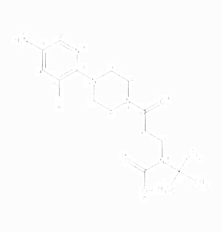 CC(C)(C)N(CCC(=O)N1CCN(c2ncc(N)cc2Cl)CC1)C(=O)O